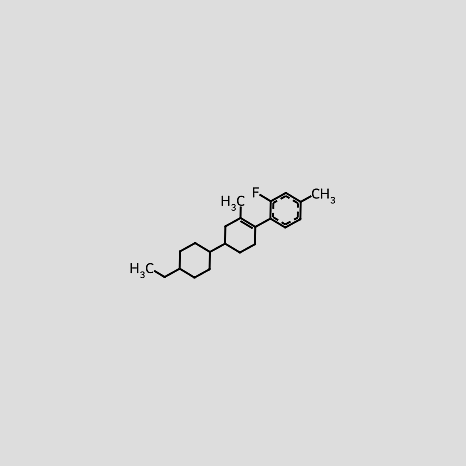 CCC1CCC(C2CCC(c3ccc(C)cc3F)=C(C)C2)CC1